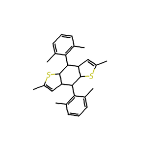 CC1=CC2C(S1)C(c1c(C)cccc1C)C1C=C(C)SC1C2c1c(C)cccc1C